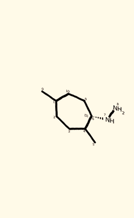 CC1CCC(C)[C@@H](NN)CC1